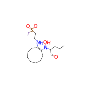 CCCC(C=O)N(O)/C1=C(\NCCS(=O)(=O)I)CCCCCCC1